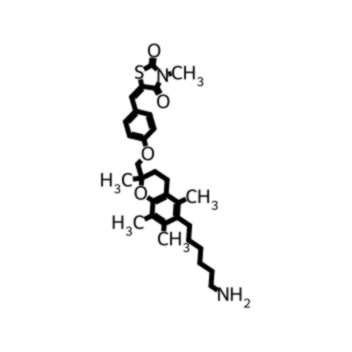 Cc1c(C)c2c(c(C)c1CCCCCCN)CCC(C)(COc1ccc(/C=C3/SC(=O)N(C)C3=O)cc1)O2